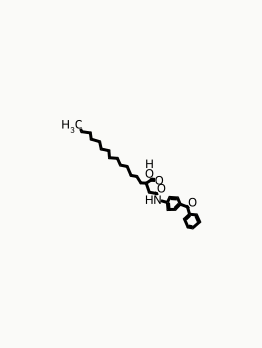 CCCCCCCCCCCCCCC(CC(=O)Nc1ccc(C(=O)c2ccccc2)cc1)C(=O)O